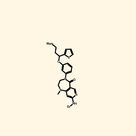 CCNc1cc2c(cn1)C(=O)N(c1cccc(OC(CCNC)c3cccs3)c1)CCN2C